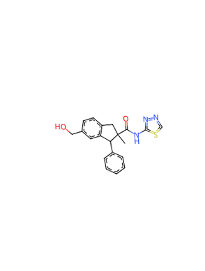 CC1(C(=O)Nc2nncs2)Cc2ccc(CO)cc2C1c1ccccc1